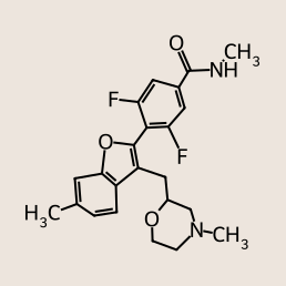 CNC(=O)c1cc(F)c(-c2oc3cc(C)ccc3c2CC2CN(C)CCO2)c(F)c1